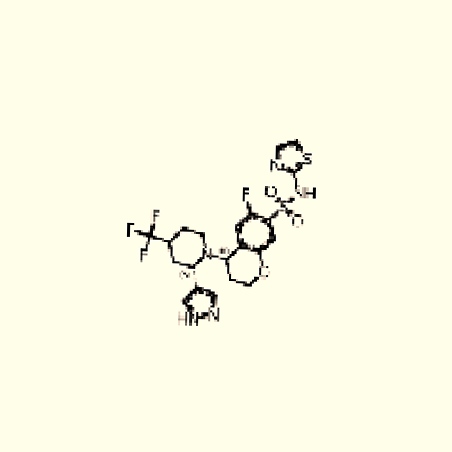 O=S(=O)(Nc1nccs1)c1cc2c(cc1F)[C@H](N1CCC(C(F)(F)F)C[C@H]1c1cn[nH]c1)CCO2